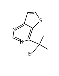 CCC(C)(C)c1ncnc2ccsc12